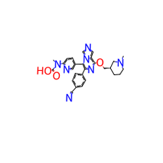 CN1CCC[C@@H](COc2nc(-c3ccc(C#N)cc3)c(-c3ccc(N(C)C(=O)O)nc3)n3cncc23)C1